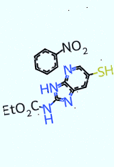 CCOC(=O)Nc1nc2cc(S)cnc2[nH]1.O=[N+]([O-])c1ccccc1